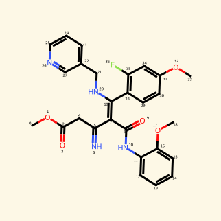 COC(=O)CC(=N)/C(C(=O)Nc1ccccc1OC)=C(\NCc1cccnc1)c1ccc(OC)cc1F